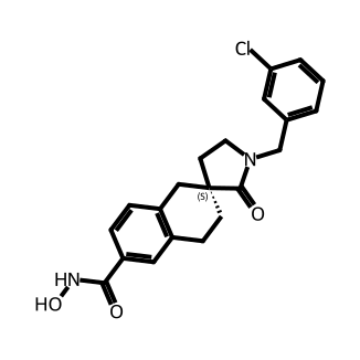 O=C(NO)c1ccc2c(c1)CC[C@@]1(CCN(Cc3cccc(Cl)c3)C1=O)C2